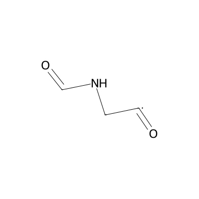 O=[C]CNC=O